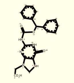 O=C(O)CN1CNc2c1nc(NC(=O)OC(c1ccccc1)c1ccccc1)[nH]c2=O